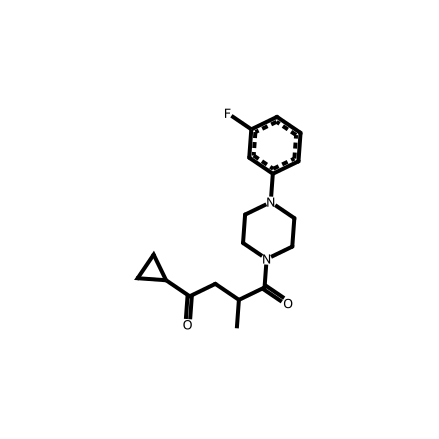 CC(CC(=O)C1CC1)C(=O)N1CCN(c2cccc(F)c2)CC1